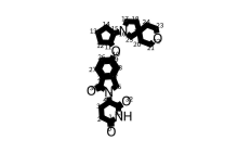 O=C1CCC(N2Cc3cc(OC4CCCC4N4CCC5(CCOCC5)C4)ccc3C2=O)C(=O)N1